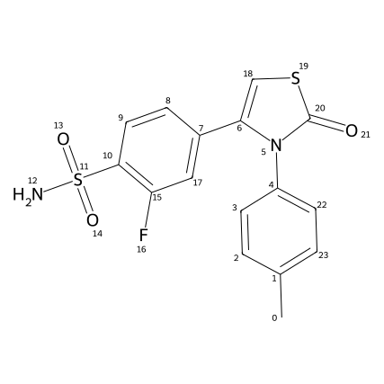 Cc1ccc(-n2c(-c3ccc(S(N)(=O)=O)c(F)c3)csc2=O)cc1